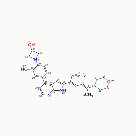 C=C/C(=C\C=C(/C)N1CCOCC1)c1cc2c(-c3ccc(N4CC(O)C4)c(C#N)c3)ncnc2[nH]1